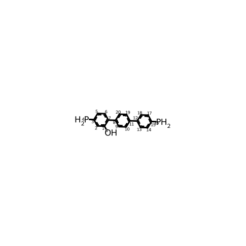 Oc1cc(P)ccc1-c1ccc(-c2ccc(P)cc2)cc1